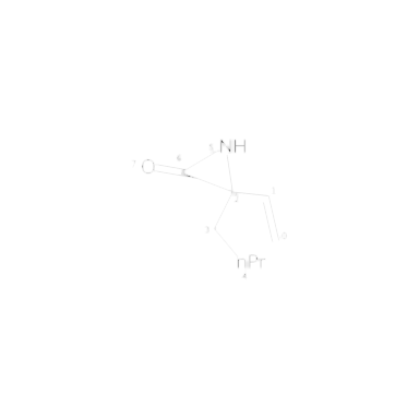 C=CC1(CCCC)NC1=O